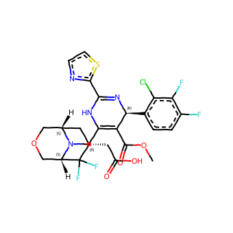 COC(=O)C1=C(CN2[C@@H]3COC[C@H]2C(F)(F)[C@@H](CC(=O)O)C3)NC(c2nccs2)=N[C@H]1c1ccc(F)c(F)c1Cl